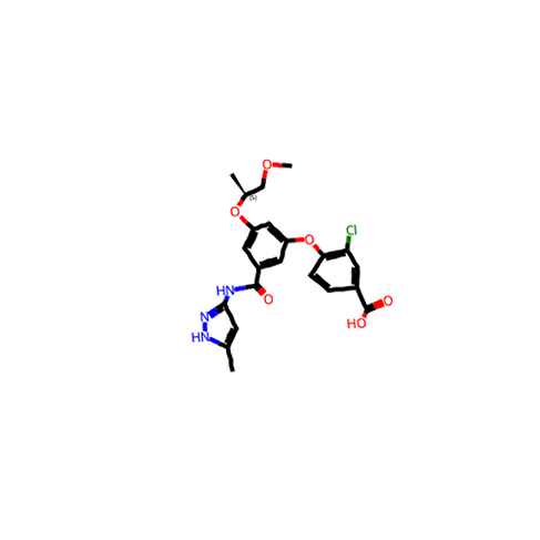 COC[C@H](C)Oc1cc(Oc2ccc(C(=O)O)cc2Cl)cc(C(=O)Nc2cc(C)[nH]n2)c1